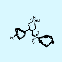 CC(=O)c1ccc(C(=O)C(C[SH](=O)=O)CS(=O)(=O)c2ccc(C)cc2)cc1